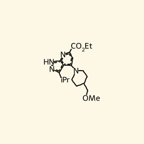 CCOC(=O)c1cc(N2CCC(COC)CC2)c2c(C(C)C)n[nH]c2n1